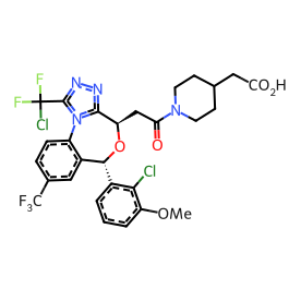 COc1cccc([C@H]2O[C@H](CC(=O)N3CCC(CC(=O)O)CC3)c3nnc(C(F)(F)Cl)n3-c3ccc(C(F)(F)F)cc32)c1Cl